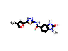 Cc1coc(-c2nnc(NC(=O)c3ccc4c(c3)[nH]c(=O)n4C(C)(C)C)s2)c1